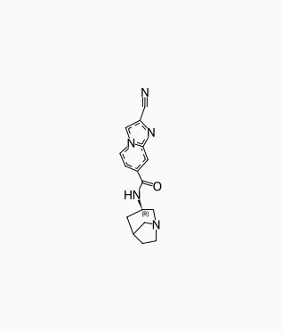 N#Cc1cn2ccc(C(=O)N[C@@H]3CC4CCN(C4)C3)cc2n1